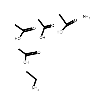 CC(=O)O.CC(=O)O.CC(=O)O.CC(=O)O.CCN.N